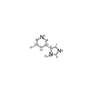 Cc1cncc(-c2cncn2C)c1